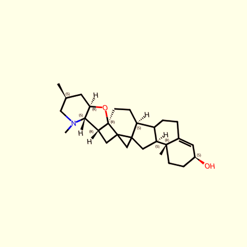 C[C@H]1C[C@H]2O[C@@]34CC[C@H]5C6CCC7=C[C@@H](O)CC[C@]7(C)[C@H]6CC56CC63C[C@@H]4[C@@H]2N(C)C1